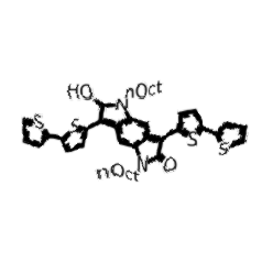 CCCCCCCCN1C(=O)C(c2ccc(-c3cccs3)s2)=c2cc3c(cc21)=C(c1ccc(-c2cccs2)s1)C(O)N3CCCCCCCC